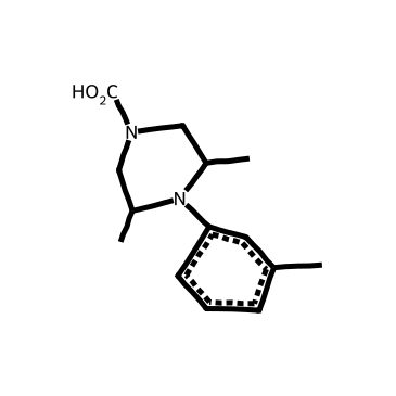 Cc1cccc(N2C(C)CN(C(=O)O)CC2C)c1